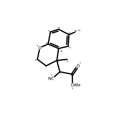 COC(=O)C(C#N)C1(C)CCOc2ccc(F)cc21